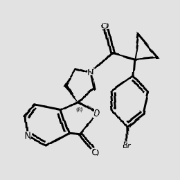 O=C1O[C@]2(CCN(C(=O)C3(c4ccc(Br)cc4)CC3)C2)c2ccncc21